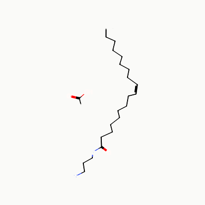 CC(=O)O.CCCCCCCC/C=C\CCCCCCCC(=O)NCCCN